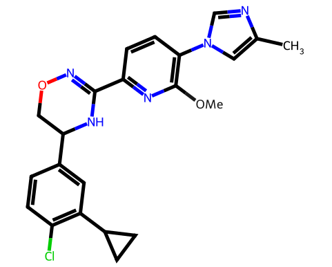 COc1nc(C2=NOCC(c3ccc(Cl)c(C4CC4)c3)N2)ccc1-n1cnc(C)c1